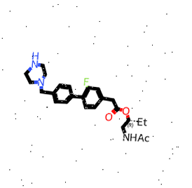 CC[C@H](CNC(C)=O)OC(=O)Cc1ccc(-c2ccc(CN3CCNCC3)cc2)c(F)c1